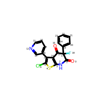 O=C1Nc2sc(Cl)c(-c3cccnc3)c2C(=O)C1(F)c1ccccc1